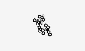 c1ccc(-c2nc(-c3ccc4oc5c6ccccc6c(-n6c7cc8ccccc8cc7c7ccc8ccccc8c76)cc5c4c3)nc(-c3cccc4sc5ccccc5c34)n2)cc1